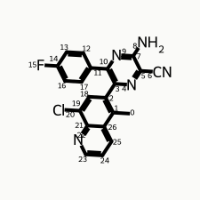 Cc1c(-c2nc(C#N)c(N)nc2-c2ccc(F)cc2)cc(Cl)c2ncccc12